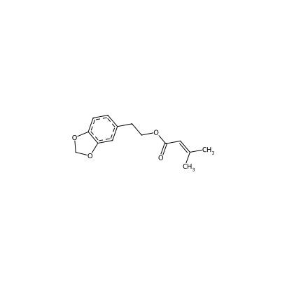 CC(C)=CC(=O)OCCc1ccc2c(c1)OCO2